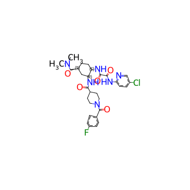 CN(C)C(=O)[C@H]1CC[C@H](NC(=O)C(=O)Nc2ccc(Cl)cn2)[C@H](NC(=O)C2CCN(C(=O)c3ccc(F)cc3)CC2)C1